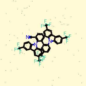 N#Cc1cccc(-c2cc(C(F)(F)F)ccc2-n2c3ccc(C(F)(F)F)cc3c3cc(C(F)(F)F)ccc32)c1-n1c2ccc(C(F)(F)F)cc2c2cc(C(F)(F)F)ccc21